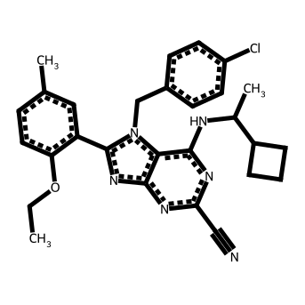 CCOc1ccc(C)cc1-c1nc2nc(C#N)nc(NC(C)C3CCC3)c2n1Cc1ccc(Cl)cc1